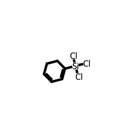 Cl[Si](Cl)(Cl)C1=CC=CCC1